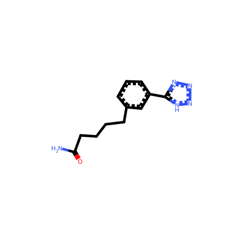 NC(=O)CCCCc1cccc(-c2nnn[nH]2)c1